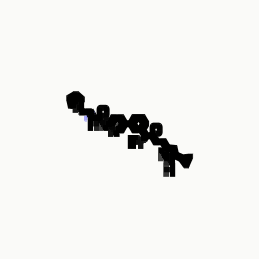 CC(C)C(C(=O)CCc1cc(C2CC2)[nH]n1)c1cccc(-c2ccc(NC(=O)/C=C/CN3CCCC3)nc2)c1